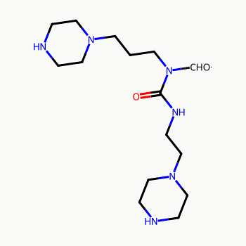 O=[C]N(CCCN1CCNCC1)C(=O)NCCN1CCNCC1